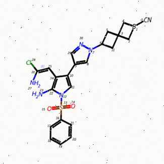 N#CB1CC2(C1)CC(n1cc(-c3cn(S(=O)(=O)c4ccccc4)c(N)c3/C=C(\N)Cl)cn1)C2